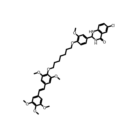 COc1cc(C2NC(=O)c3cc(Cl)ccc3N2)ccc1OCCCCCCCOc1c(OC)cc(/C=C/c2cc(OC)c(OC)c(OC)c2)cc1OC